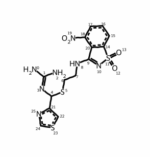 NC(N)=NC(SCCNC1=NS(=O)(=O)c2cccc([N+](=O)[O-])c21)c1cscn1